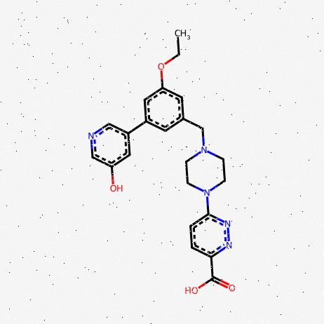 CCOc1cc(CN2CCN(c3ccc(C(=O)O)nn3)CC2)cc(-c2cncc(O)c2)c1